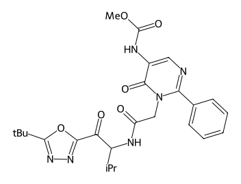 COC(=O)Nc1cnc(-c2ccccc2)n(CC(=O)NC(C(=O)c2nnc(C(C)(C)C)o2)C(C)C)c1=O